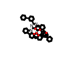 c1ccc(-c2cccc(-c3nc(-c4cccc(-c5ccccc5)c4)nc(-n4c5ccccc5c5ccc6c7ccccc7n(-c7ccccc7-c7ccc(-c8ccccc8)cc7-c7ccccc7)c6c54)n3)c2)cc1